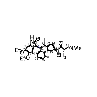 CCOc1cc2c(cc1OCC)/C(=C(/Nc1ccc(N(C)C(=O)CCNC)cc1)c1ccccc1)C(=O)N2